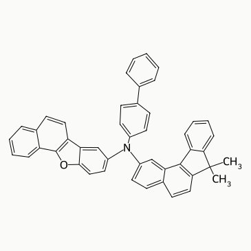 CC1(C)c2ccccc2-c2c1ccc1ccc(N(c3ccc(-c4ccccc4)cc3)c3ccc4oc5c6ccccc6ccc5c4c3)cc21